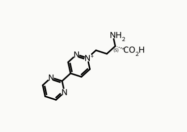 N[C@@H](CC[n+]1ccc(-c2ncccn2)cn1)C(=O)O